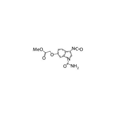 COC(=O)COc1ccc2c(N=C=O)cn(C(N)=O)c2c1